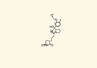 CCC(O)(c1ccc(F)c(OCC2CC2)c1)C1CCCN1C(=O)CCCC1CCC(=O)NC1=O